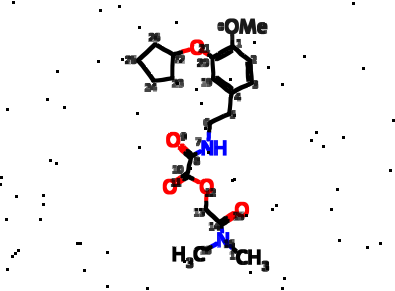 COc1ccc(CCNC(=O)C(=O)OCC(=O)N(C)C)cc1OC1CCCC1